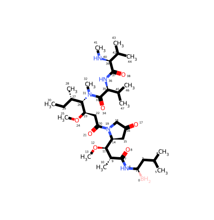 B[C@H](CC(C)C)NC(=O)[C@H](C)[C@@H](OC)[C@@H]1CC(=O)CN1C(=O)C[C@@H](OC)[C@H]([C@@H](C)CC)N(C)C(=O)[C@@H](NC(=O)[C@@H](NC)C(C)C)C(C)C